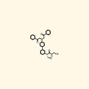 CC(C)C[C@@H](C(=O)NCC#N)c1cccc(-c2ccc(N(CC(=O)c3ccccc3)CC(=O)c3ccccc3)cc2)c1